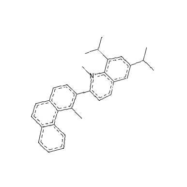 Cc1c(-c2ccc3cc(C(C)C)cc(C(C)C)c3[n+]2C)ccc2ccc3ccccc3c12